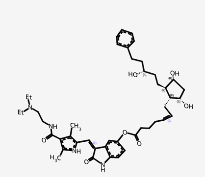 CCN(CC)CCNC(=O)c1c(C)[nH]c(/C=C2\C(=O)Nc3ccc(OC(=O)CCC/C=C\C[C@@H]4[C@@H](CC[C@H](O)CCc5ccccc5)[C@H](O)C[C@@H]4O)cc32)c1C